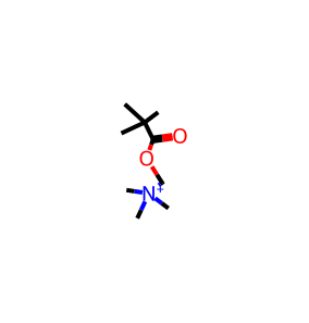 CC(C)(C)C(=O)OC[N+](C)(C)C